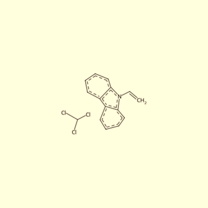 C=Cn1c2ccccc2c2ccccc21.ClC(Cl)Cl